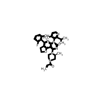 C=CC(=O)N1CCN(c2nc(=O)n(-c3c(C)ccnc3C(C)C)c3nc(-c4c(O)cccc4F)c4c(c23)OCC4)[C@@H](C)C1